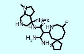 CCCCCCC1(NC(=O)C(C(N)N)C2CC3(CCCC3)CCC(F)CN2)CNCC2C1CCN2C